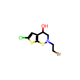 OC1CN(CCBr)Sc2sc(Cl)cc21